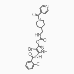 O=C(NCC1CCN(C(=O)c2ccncc2)CC1)Oc1n[nH]c(NC(=O)c2ccccc2Cl)c1Br